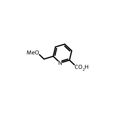 COCc1cccc(C(=O)O)n1